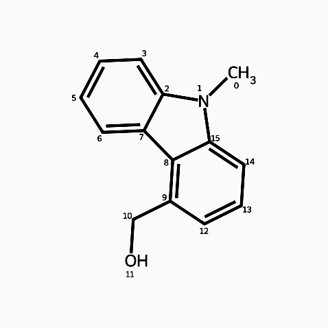 Cn1c2ccccc2c2c(CO)cccc21